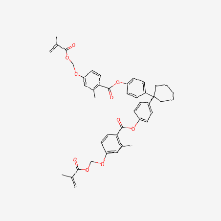 C=C(C)C(=O)OCOc1ccc(C(=O)Oc2ccc(C3(c4ccc(OC(=O)c5ccc(OCOC(=O)C(=C)C)cc5C)cc4)CCCCC3)cc2)c(C)c1